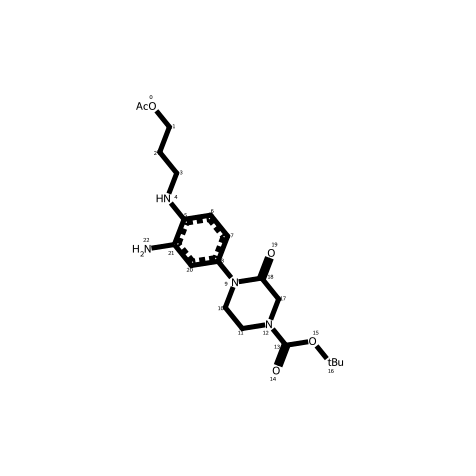 CC(=O)OCCCNc1ccc(N2CCN(C(=O)OC(C)(C)C)CC2=O)cc1N